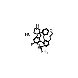 Cl.NC(=O)c1ccc(CCCO)c(F)c1-c1c(Cl)c(F)cc2c1CC1(c3ccccc3)CNCCN21